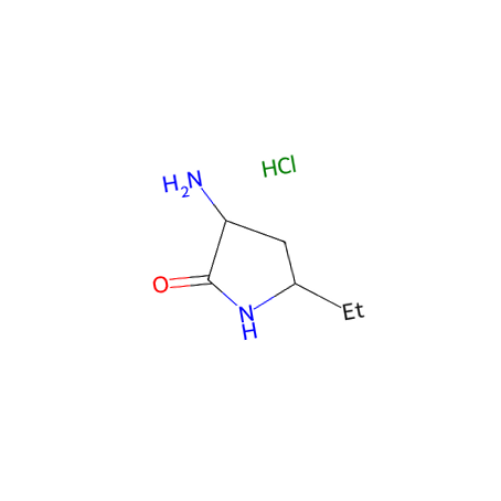 CCC1CC(N)C(=O)N1.Cl